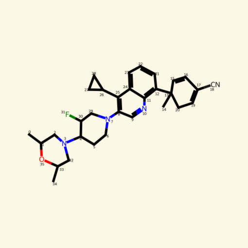 CC1CN(C2CCN(c3cnc4c(C5(C)C=CC(C#N)=CC5)cccc4c3C3CC3)CC2F)CC(C)O1